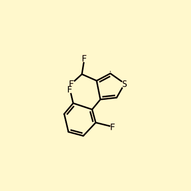 Fc1cccc(F)c1-c1cs[c]c1C(F)F